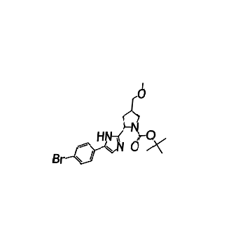 COCC1CC(c2ncc(-c3ccc(Br)cc3)[nH]2)N(C(=O)OC(C)(C)C)C1